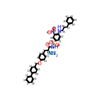 Cl.N[C@@H](Cc1ccc(OCc2ccc(-c3ccccc3)cc2)cc1)C(=O)NS(=O)(=O)c1ccc(NCCCc2ccccc2)c([N+](=O)[O-])c1